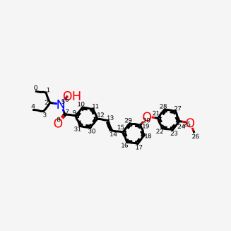 CCC(CC)N(O)C(=O)c1ccc(/C=C/c2cccc(Oc3ccc(OC)cc3)c2)cc1